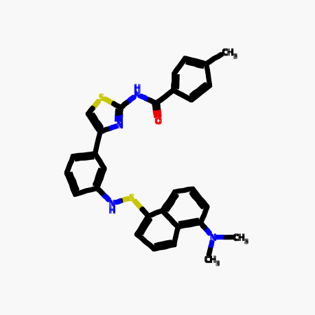 Cc1ccc(C(=O)Nc2nc(-c3cccc(NSc4cccc5c(N(C)C)cccc45)c3)cs2)cc1